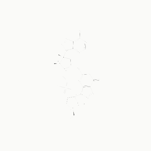 Nc1nc2c(nnn2[C@]2(OP(=O)(S)OC[C@H]3OC[C@@](F)(n4nnc5c(N)ncnc54)[C@@H]3O)CO[C@H](CO)[C@H]2F)c(=O)[nH]1